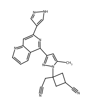 Cc1cc(-c2nc(-c3cn[nH]c3)cc3ncccc23)nn1C1(CC#N)CC(C#N)C1